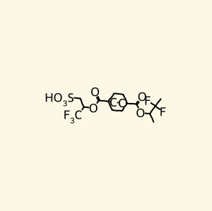 CC(OC(=O)C12CCC(C(=O)OC(CS(=O)(=O)O)C(F)(F)F)(CC1)CC2)C(C)(F)F